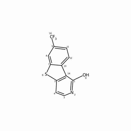 Oc1nccc2sc3cc(C(F)(F)F)ccc3c12